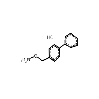 Cl.NOCc1ccc(-c2ccccc2)cc1